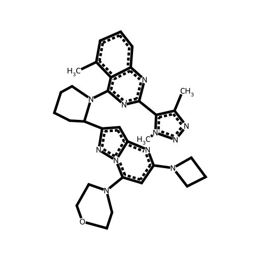 Cc1nnn(C)c1-c1nc(N2CCCCC2c2cc3nc(N4CCC4)cc(N4CCOCC4)n3n2)c2c(C)cccc2n1